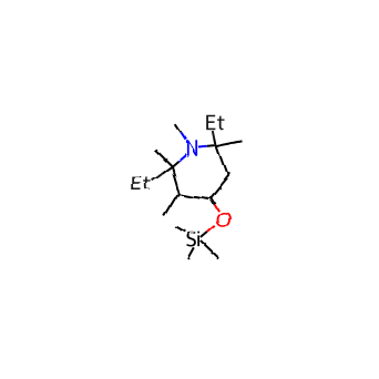 CCC1(C)CC(O[Si](C)(C)C)C(C)C(C)(CC)N1C